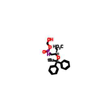 CC(C)(C)[Si](O[C@@H](CC(=O)O)C[PH](=O)OCO)(c1ccccc1)c1ccccc1